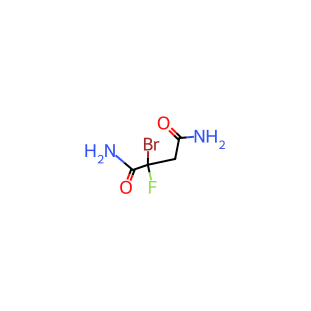 NC(=O)CC(F)(Br)C(N)=O